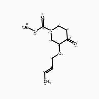 CC=CCOC1CN(C(=O)OC(C)(C)C)CCC1=O